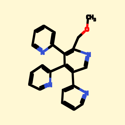 COCc1ncc(-c2ccccn2)c(-c2ccccn2)c1-c1ccccn1